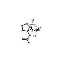 C=C(C)CC12CCC(C1)C(C)(C)C2C(C)=O